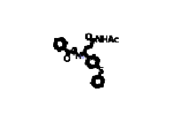 CC(=O)NC(=O)CC/C(=N\OC(=O)c1ccccc1)c1ccc(Sc2ccccc2)cc1